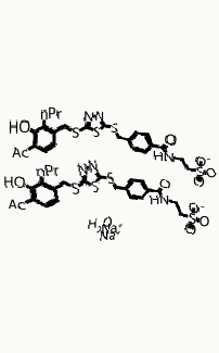 CCCc1c(CSc2nnc(SCc3ccc(C(=O)NCCS(=O)(=O)[O-])cc3)s2)ccc(C(C)=O)c1O.CCCc1c(CSc2nnc(SCc3ccc(C(=O)NCCS(=O)(=O)[O-])cc3)s2)ccc(C(C)=O)c1O.O.[Na+].[Na+]